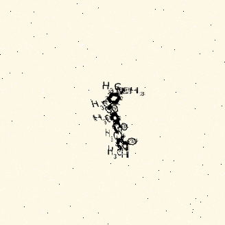 Cc1cc(C)c(CN2CCc3c(cc4c(c3C)OC(C)([C@H]3CC[C@H](N(C)C)CC3)O4)C2=O)c(=O)[nH]1